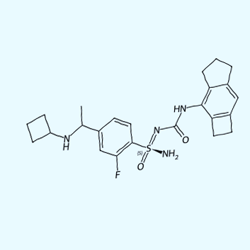 CC(NC1CCC1)c1ccc([S@@](N)(=O)=NC(=O)Nc2c3c(cc4c2CC4)CCC3)c(F)c1